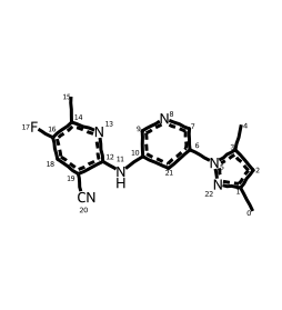 Cc1cc(C)n(-c2cncc(Nc3nc(C)c(F)cc3C#N)c2)n1